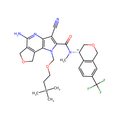 CN(C(=O)c1c(C#N)c2nc(N)c3c(c2n1COCC[Si](C)(C)C)COC3)[C@@H]1COCc2cc(C(F)(F)F)ccc21